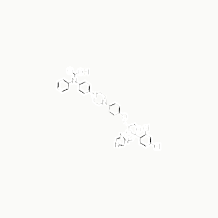 O=C(O)N(c1ccccc1)c1ccc(N2CCN(c3ccc(OC[C@@H]4CO[C@@](Cn5cncn5)(c5ccc(Cl)cc5Cl)O4)cc3)CC2)cc1